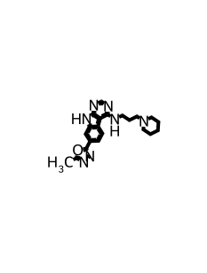 Cc1nnc(-c2ccc3c(c2)[nH]c2ncnc(NCCCN4CCCCC4)c23)o1